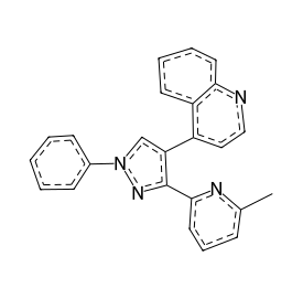 Cc1cccc(-c2nn(-c3ccccc3)cc2-c2ccnc3ccccc23)n1